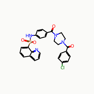 O=C(c1ccc(Cl)cc1)N1CCN(C(=O)c2ccc(NS(=O)(=O)c3cccc4cccnc34)cc2)CC1